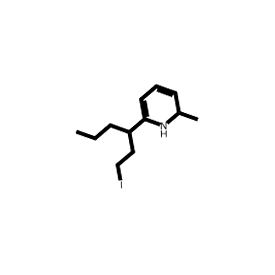 CCCC(CCI)C1=CC=CC(C)N1